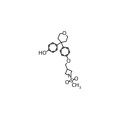 CS(=O)(=O)N1CC(COc2ccc(C3(c4ccc(O)cc4)CCOCC3)cc2)C1